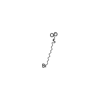 COC(=O)CCSCCCCCCCCCCCCBr